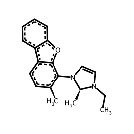 CCN1C=CN(c2c(C)ccc3c2oc2ccccc23)[C@@H]1C